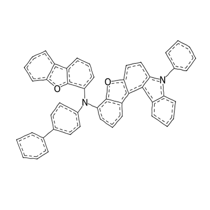 c1ccc(-c2ccc(N(c3cccc4c3oc3ccccc34)c3cccc4c3oc3ccc5c(c6ccccc6n5-c5ccccc5)c34)cc2)cc1